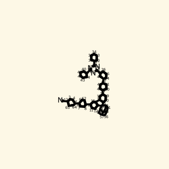 N#Cc1ccc(-c2ccc(-c3ccc4c(c3)-c3cc(-c5ccc(-c6cccc(-c7nc(-c8ccccc8)nc(-c8ccccc8)n7)c6)cc5)ccc3C43C4CC5CC(C4)CC3C5)cc2)cc1